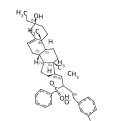 CC[C@]1(O)CC[C@@]2(C)C(=CC[C@H]3[C@@H]4CC[C@H]([C@H](C)C(C[C@@H](O)c5cccc(C)c5)S(=O)(=O)c5ccccc5)[C@@]4(C)CC[C@@H]32)C1